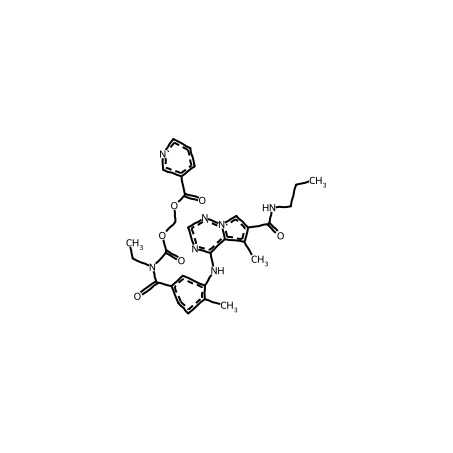 CCCNC(=O)c1cn2ncnc(Nc3cc(C(=O)N(CC)C(=O)OCOC(=O)c4cccnc4)ccc3C)c2c1C